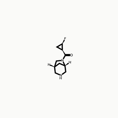 O=C([C@H]1C[C@H]1F)N1C[C@H]2CNC[C@@H]1C2